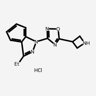 CCc1nn(-c2noc(C3CNC3)n2)c2ccccc12.Cl